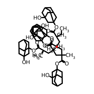 CCC(C)(CC(C)(CC(C)(CC(C)(CC(C)(C)C(=O)OC12CC3CC(CC(O)(C3)C1)C2)C(=O)OC12CC3CC(CC(O)(C3)C1)C2)C(=O)OC12CC3CC(CC(O)(C3)C1)C2)C(=O)OC12CC3CC(CC(O)(C3)C1)C2)C(=O)OC12CC3CC(CC(O)(C3)C1)C2